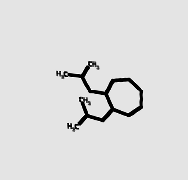 CC(C)CC1CCCCCC1CC(C)C